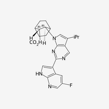 CC(C)c1cn([C@@H]2C3CCC(CC3)[C@H]2C(=O)O)c2nc(-c3c[nH]c4ncc(F)cc34)ncc12